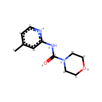 Cc1ccnc(NC(=O)N2CCOCC2)c1